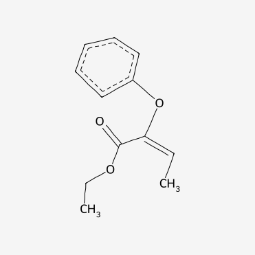 CC=C(Oc1ccccc1)C(=O)OCC